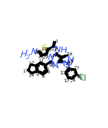 C=C(Nc1nc(-c2ccc3c(c2)CCC3)nc2c1cnn2-c1cccc(Cl)c1)c1ccc(N)s1